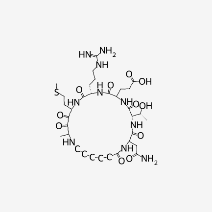 CSCCC1NC(=O)[C@H](CCCNC(=N)N)NC(=O)C(CCC(=O)O)NC(=O)[C@H]([C@@H](C)O)NC(=O)C(CC(N)=O)NC(=O)CCCCCNC(C)C(=O)C1=O